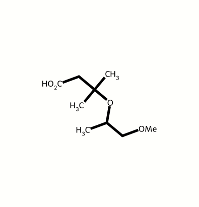 COCC(C)OC(C)(C)CC(=O)O